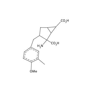 COc1ccc(CC2CC3C(C(=O)O)C3C2(N)C(=O)O)cc1C